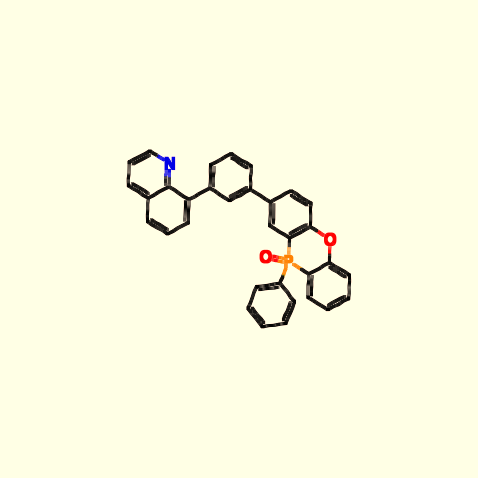 O=P1(c2ccccc2)c2ccccc2Oc2ccc(-c3cccc(-c4cccc5cccnc45)c3)cc21